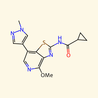 COc1ncc(-c2cnn(C)c2)c2sc(NC(=O)C3CC3)nc12